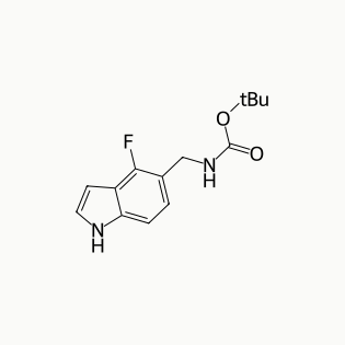 CC(C)(C)OC(=O)NCc1ccc2[nH]ccc2c1F